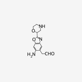 Nc1cc2oc(C3CNCCO3)nc2cc1CC=O